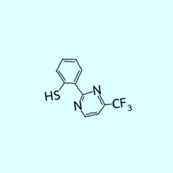 FC(F)(F)c1ccnc(-c2ccccc2S)n1